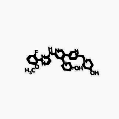 COc1cccc(F)c1-c1nccc(Nc2cc(N3CCC[C@H](O)C3)c(-c3ccc(CN4CCC(O)CC4)nc3)cn2)n1